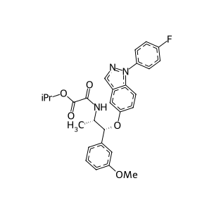 COc1cccc([C@@H](Oc2ccc3c(cnn3-c3ccc(F)cc3)c2)[C@H](C)NC(=O)C(=O)OC(C)C)c1